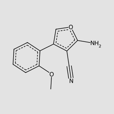 COc1ccccc1-c1coc(N)c1C#N